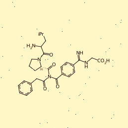 CC(C)CC(N)C(=O)N1CCC[C@H]1C(=O)N(C(=O)Cc1ccccc1)C(=O)c1ccc(C(=N)NCC(=O)O)cc1